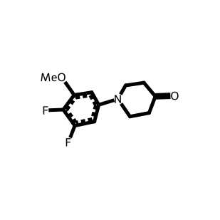 COc1cc(N2CCC(=O)CC2)cc(F)c1F